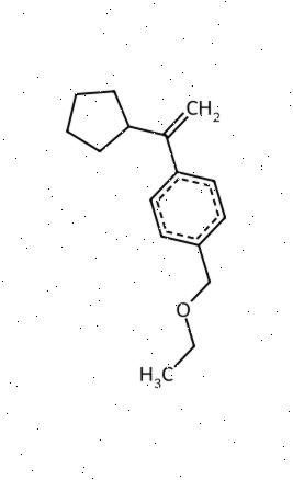 C=C(c1ccc(COCC)cc1)C1CCCC1